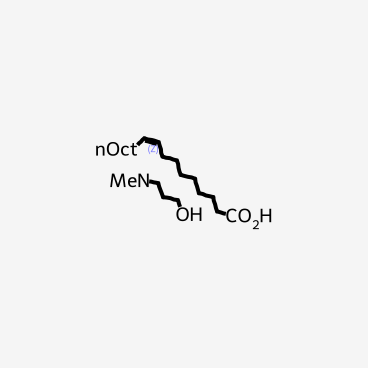 CCCCCCCC/C=C\CCCCCCCC(=O)O.CNCCCO